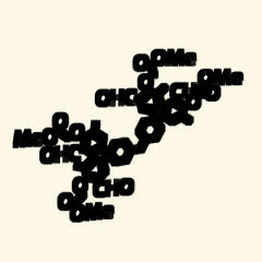 COC(=O)COc1c(C)cc(C2(c3cc(C)c(OCC(=O)OC)c(C=O)c3)CCC(CC3CCC(c4cc(C)c(OCC(=O)OC)c(C=O)c4)(c4cc(C)c(OCC(=O)OC)c(C=O)c4)CC3)CC2)cc1C=O